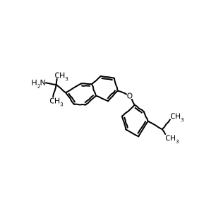 CC(C)c1cccc(Oc2ccc3cc(C(C)(C)N)ccc3c2)c1